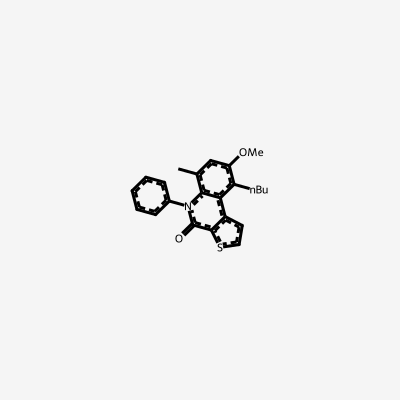 CCCCc1c(OC)cc(C)c2c1c1ccsc1c(=O)n2-c1ccccc1